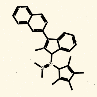 CC1=C(C)[CH]([Zr]([CH]2C(C)=C(c3ccc4ccccc4c3)c3ccccc32)=[Si](C)C)C(C)=C1C